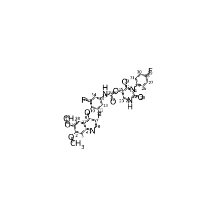 COc1cc2nccc(Oc3c(F)cc(NC(=O)Oc4c[nH]c(=O)n(-c5ccc(F)cc5)c4=O)cc3F)c2cc1OC